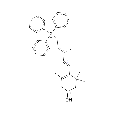 CC1=C(/C=C/C(C)=C/C[PH](c2ccccc2)(c2ccccc2)c2ccccc2)C(C)(C)C[C@@H](O)C1